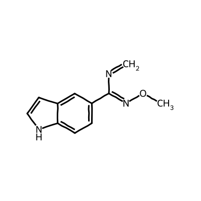 C=N/C(=N\OC)c1ccc2[nH]ccc2c1